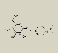 C=C(C)[C@@H]1CC=C(CO[C@@H]2O[C@H](CO)[C@@H](O)[C@H](O)[C@H]2O)CC1